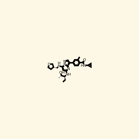 CC[C@H](Nc1cc(NC[C@@H]2CCOC2)n2ncc(-c3ccc(C(=O)NC4CC4)c(C)c3)c2n1)[C@H](C)O